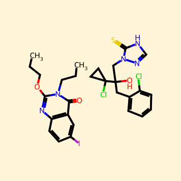 CCCOc1nc2ccc(I)cc2c(=O)n1CCC.OC(Cc1ccccc1Cl)(Cn1nc[nH]c1=S)C1(Cl)CC1